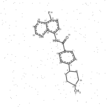 CN1CCC(c2ccc(C(=O)Nc3ccc(F)c4nccnc34)cc2)CC1